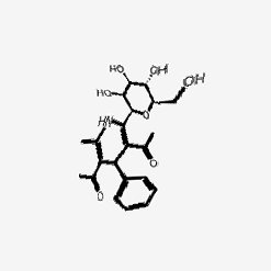 CC(=O)C1=C(C)NC([C@@H]2O[C@H](CO)[C@@H](O)[C@H](O)[C@@H]2O)=C(C(C)=O)C1c1ccccc1